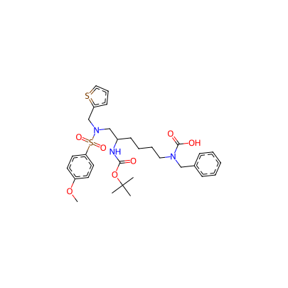 COc1ccc(S(=O)(=O)N(Cc2cccs2)CC(CCCCN(Cc2ccccc2)C(=O)O)NC(=O)OC(C)(C)C)cc1